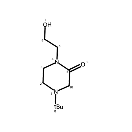 CC(C)(C)N1CCN(CCO)C(=O)C1